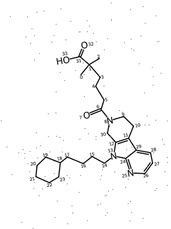 CC(C)(CCCC(=O)N1CCc2c(n(CCCCC3CCCCC3)c3ncccc23)C1)C(=O)O